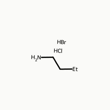 Br.CCCCN.Cl